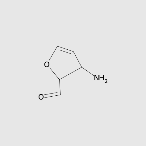 NC1C=COC1C=O